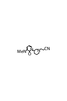 CNc1cccn(C2CCCN(CCC#N)C2)c1=O